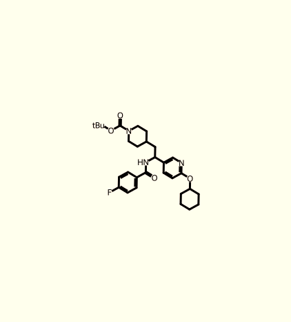 CC(C)(C)OC(=O)N1CCC(CC(NC(=O)c2ccc(F)cc2)c2ccc(OC3CCCCC3)nc2)CC1